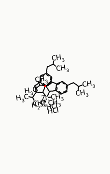 CC(C)Cc1ccc2c(c1)C=C(C(C)C)[CH]2[Zr]([CH3])([CH3])(=[SiH2])[CH]1C(C(C)C)=Cc2cc(CC(C)C)ccc21.Cl.Cl